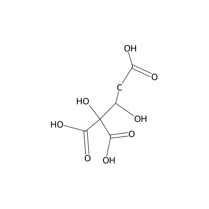 O=C(O)CC(O)C(O)(C(=O)O)C(=O)O